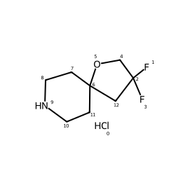 Cl.FC1(F)COC2(CCNCC2)C1